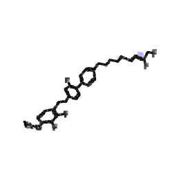 CCOc1ccc(CCc2ccc(-c3ccc(CCCCCC/C=C(\F)CF)cc3)c(F)c2)c(F)c1F